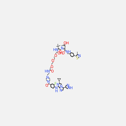 Cc1ncsc1-c1ccc(CNC(=O)[C@@H]2C[C@@H](O)CN2C(=O)[C@@H](NC(O)COCCOCCOCC(=O)NCCN2CCN(C(=O)c3ccc(Nc4nc(C5CC5)cn5c(-c6cn[nH]c6)cnc45)c(F)c3)CC2)C(C)(C)C)cc1